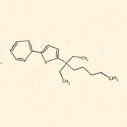 CCCCCC(CC)(CC)c1ccc(-c2ccccc2)s1